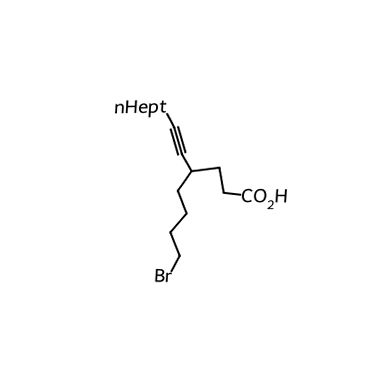 CCCCCCCC#CC(CCCCBr)CCC(=O)O